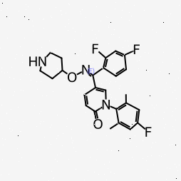 Cc1cc(F)cc(C)c1-n1cc(/C(=N\OC2CCNCC2)c2ccc(F)cc2F)ccc1=O